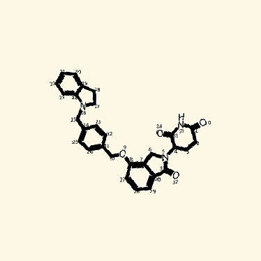 O=C1CCC(N2Cc3c(OCc4ccc(CN5CCc6ccccc65)cc4)cccc3C2=O)C(=O)N1